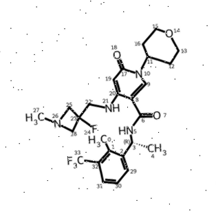 Cc1c([C@@H](C)NC(=O)c2cn(C3CCOCC3)c(=O)cc2NCC2(F)CN(C)C2)cccc1C(F)(F)F